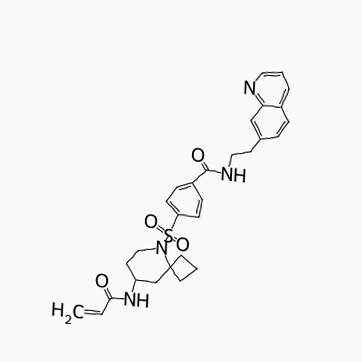 C=CC(=O)NC1CCN(S(=O)(=O)c2ccc(C(=O)NCCc3ccc4cccnc4c3)cc2)C2(CCC2)C1